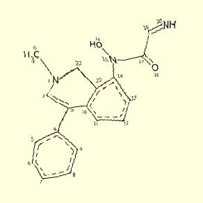 CN1C=C(c2ccccc2)c2cccc(N(O)C(=O)C=N)c2C1